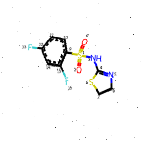 O=S(=O)(NC1=NCCS1)c1ccc(F)cc1F